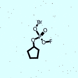 O=P(OF)(OBr)OC1CCCC1